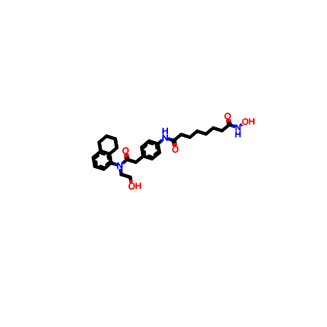 O=C(CCCCCCC(=O)Nc1ccc(CC(=O)N(CCO)c2cccc3c2CCCC3)cc1)NO